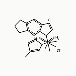 CC1=C[CH]([Zr]([CH3])([CH3])([CH3])([CH3])(=[SiH2])(=[SiH2])[CH]2C=Cc3cc4c(cc32)CCC4)C=C1.[Cl-].[Cl-]